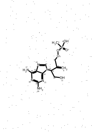 C=C(COOP(C)(=O)O)C(CO)n1cnc2c(N)nc(N)nc21